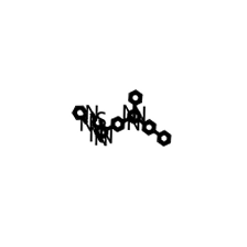 c1ccc(-c2ccc(-c3nc(-c4ccccc4)nc(-c4ccc(-c5nnnc6c5sc5nc7ccccc7nc56)cc4)n3)cc2)cc1